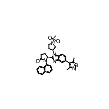 Cc1noc(C)c1-c1ccc2c(c1)nc([C@@H]1CCC(=O)N1c1cccc3ccccc13)n2[C@@H]1CCN(S(C)(=O)=O)C1